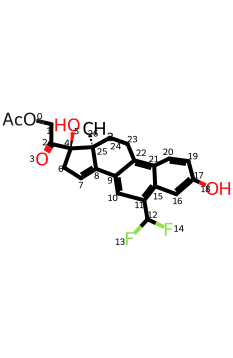 CC(=O)OCC(=O)[C@@]1(O)CC=C2c3cc(C(F)F)c4cc(O)ccc4c3CC[C@@]21C